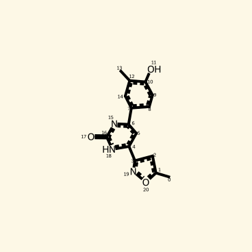 Cc1cc(-c2cc(-c3ccc(O)c(C)c3)nc(=O)[nH]2)no1